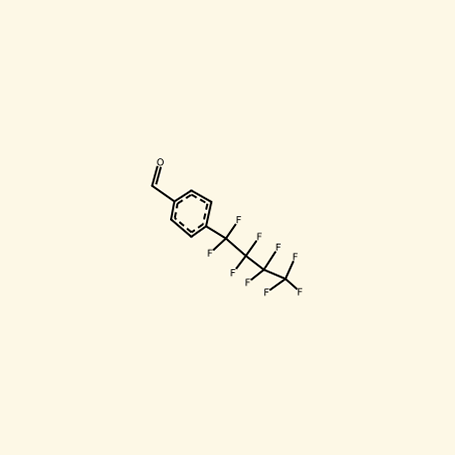 O=Cc1ccc(C(F)(F)C(F)(F)C(F)(F)C(F)(F)F)cc1